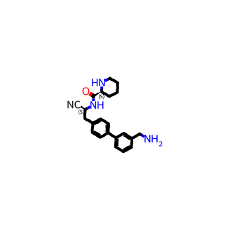 N#C[C@H](Cc1ccc(-c2cccc(CN)c2)cc1)NC(=O)[C@@H]1CCCCN1